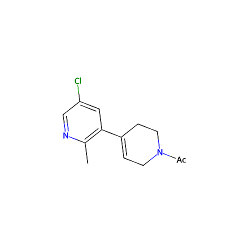 CC(=O)N1CC=C(c2cc(Cl)cnc2C)CC1